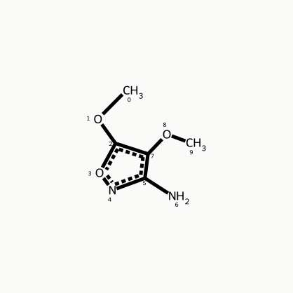 COc1onc(N)c1OC